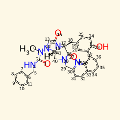 CN(C(=O)NCc1ccccc1)N1CC(=O)N2[C@@H](Cc3ccc(O)cc3)C(=O)N(Cc3ccc4ccccc4n3)C[C@@H]21